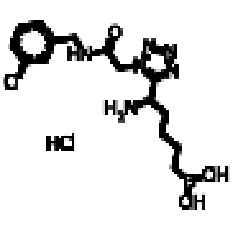 Cl.NC(CCCCB(O)O)c1nnnn1CC(=O)NCc1cccc(Cl)c1